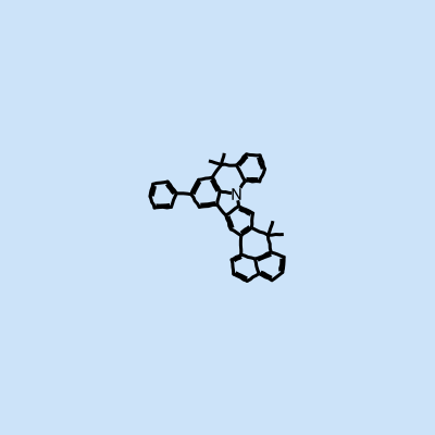 CC1(C)c2cc3c(cc2-c2cccc4cccc1c24)c1cc(-c2ccccc2)cc2c1n3-c1ccccc1C2(C)C